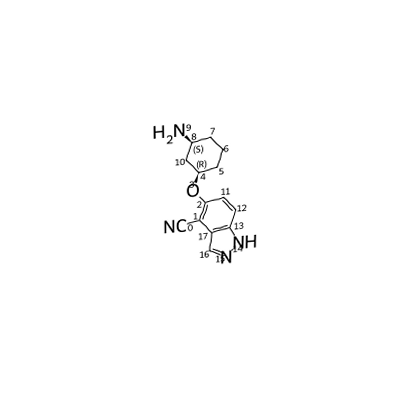 N#Cc1c(O[C@@H]2CCC[C@H](N)C2)ccc2[nH]ncc12